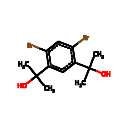 CC(C)(O)c1cc(C(C)(C)O)c(Br)cc1Br